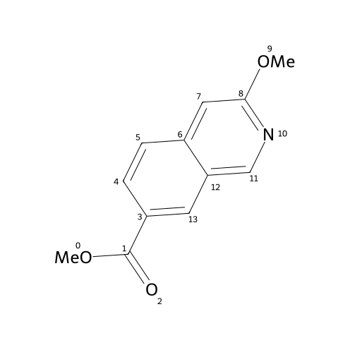 COC(=O)c1ccc2cc(OC)ncc2c1